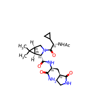 CC(=O)N[C@H](C(=O)N1C[C@H]2[C@@H]([C@H]1C(=O)N[C@@H](C[C@@H]1CCNC1=O)C(N)=O)C2(C)C)C1CC1